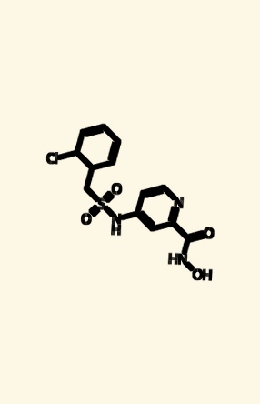 O=C(NO)c1cc(NS(=O)(=O)CC2C=CC=CC2Cl)ccn1